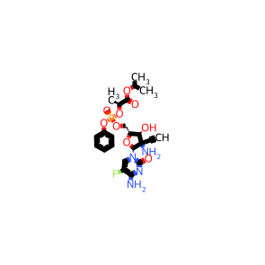 C#CC1(N)[C@@H](O)[C@@H](COP(=O)(Oc2ccccc2)O[C@@H](C)C(=O)OC(C)C)O[C@H]1n1cc(F)c(N)nc1=O